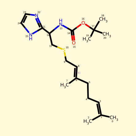 CC(C)=CCC/C(C)=C/CSCC(NC(=O)OC(C)(C)C)c1ncc[nH]1